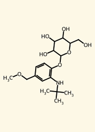 COCc1ccc(OC2OC(CO)C(O)C(O)C2O)c(NC(C)(C)C)c1